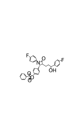 O=C1C(CC[C@H](O)c2ccc(F)cc2)[C@@H](c2ccc(OS(=O)(=O)c3ccccc3)cc2)N1c1ccc(F)cc1